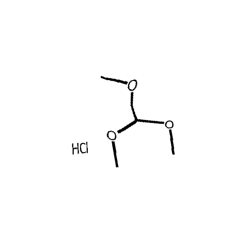 COC(OC)OC.Cl